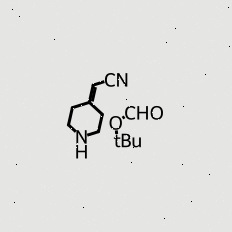 CC(C)(C)OC=O.N#CC=C1CCNCC1